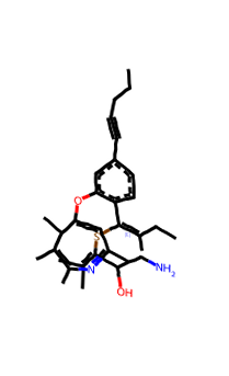 CCCC#Cc1ccc(/C(SC(=C(C)C)C(O)CN)=C(/C)CC)c(OC2=CC(C)=NC(C)=C(C)C2C)c1